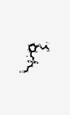 C[C@@H](CS(=O)(=O)CCCO)c1cccc(OCC(F)F)c1